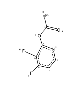 CCCC(=O)Oc1nccc(F)c1F